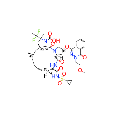 COCCn1nc(O[C@@H]2C[C@H]3C(=O)N[C@]4(C(=O)NS(=O)(=O)C5CC5)C[C@H]4C=CCC[C@@H](C)C[C@@H](C)[C@H](N(C(=O)O)C(C)(C)C(C)(F)F)C(=O)N3C2)c2ccccc2c1=O